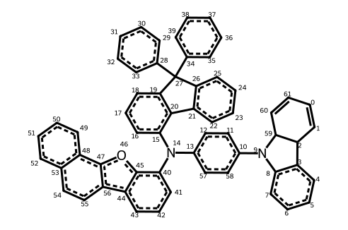 C1=CC2c3ccccc3N(c3ccc(N(c4cccc5c4-c4ccccc4C5(c4ccccc4)c4ccccc4)c4cccc5c4oc4c6ccccc6ccc54)cc3)C2C=C1